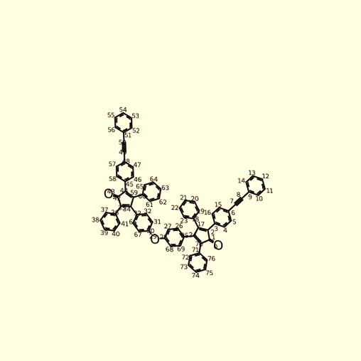 O=C1C(c2ccc(C#Cc3ccccc3)cc2)=C(c2ccccc2)C(c2ccc(Oc3ccc(C4=C(c5ccccc5)C(=O)C(c5ccc(C#Cc6ccccc6)cc5)=C4c4ccccc4)cc3)cc2)=C1c1ccccc1